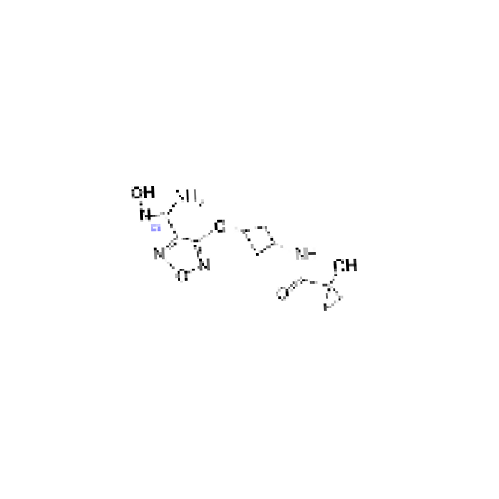 N/C(=N\O)c1nonc1O[C@H]1C[C@@H](NC(=O)C2(O)CC2)C1